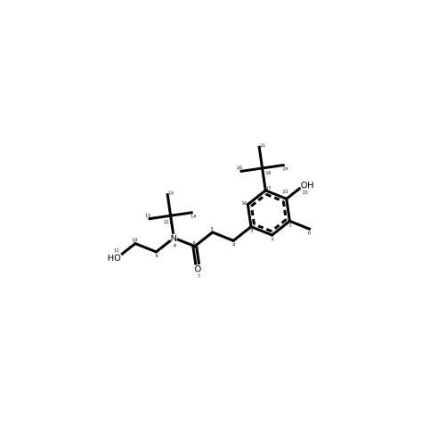 Cc1cc(CCC(=O)N(CCO)C(C)(C)C)cc(C(C)(C)C)c1O